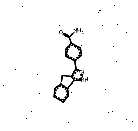 NC(=O)c1ccc(-c2n[nH]c3c2Cc2ccccc2-3)cc1